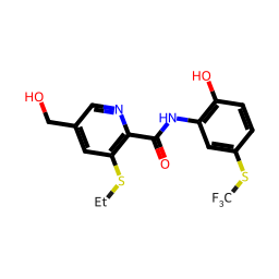 CCSc1cc(CO)cnc1C(=O)Nc1cc(SC(F)(F)F)ccc1O